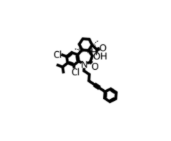 CC(C)c1c(Cl)cc2c(c1Cl)N(CCCC#Cc1ccccc1)C(=O)C[C@H]1[C@](C)(C(=O)O)CCC[C@]21C